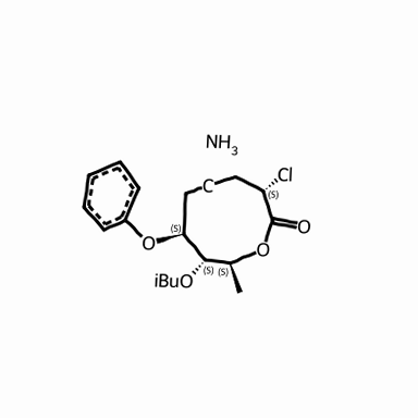 CC(C)CO[C@H]1[C@H](C)OC(=O)[C@@H](Cl)CCC[C@@H]1Oc1ccccc1.N